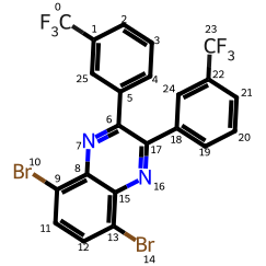 FC(F)(F)c1cccc(-c2nc3c(Br)ccc(Br)c3nc2-c2cccc(C(F)(F)F)c2)c1